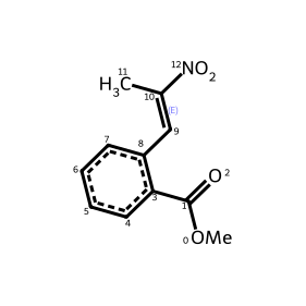 COC(=O)c1ccccc1/C=C(\C)[N+](=O)[O-]